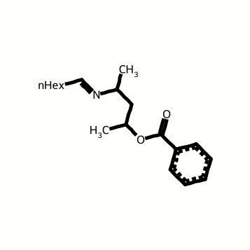 CCCCCCC=NC(C)CC(C)OC(=O)c1ccccc1